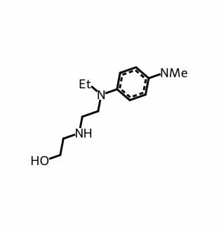 CCN(CCNCCO)c1ccc(NC)cc1